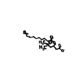 C[N+](C)(C)CC(CC(=O)[O-])OC(=O)CCCCCCC=C=O